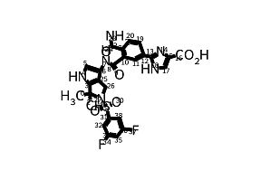 CC1(C)c2[nH]cc(NC(=O)c3cc(-c4nc(C(=O)O)c[nH]4)ccc3C(N)=O)c2CN1S(=O)(=O)c1cc(F)cc(F)c1